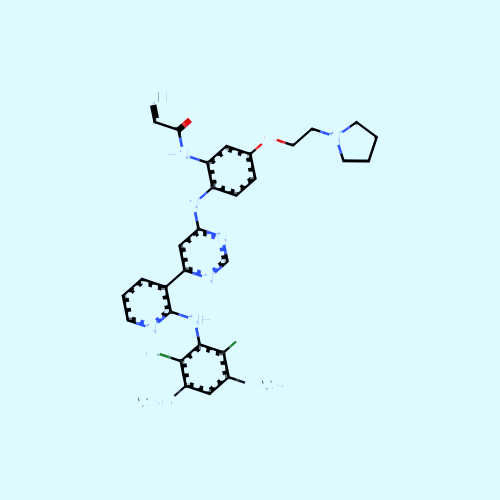 C=CC(=O)Nc1cc(OCCN2CCCC2)ccc1Nc1cc(-c2cccnc2Nc2c(Cl)c(OC)cc(OC)c2Cl)ncn1